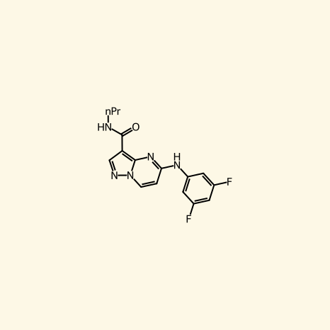 CCCNC(=O)c1cnn2ccc(Nc3cc(F)cc(F)c3)nc12